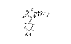 N#Cc1ccc(-c2nc(NC(=O)O)ccc2F)cc1